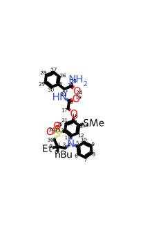 CCCCC1(CC)CN(c2ccccc2)c2cc(SC)c(OCC(=O)N[C@@H](C(N)=O)c3ccccc3)cc2S(=O)(=O)C1